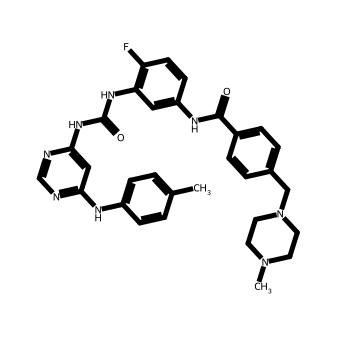 Cc1ccc(Nc2cc(NC(=O)Nc3cc(NC(=O)c4ccc(CN5CCN(C)CC5)cc4)ccc3F)ncn2)cc1